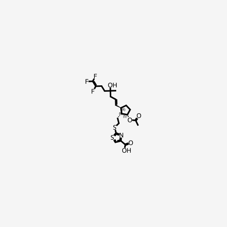 CC(=O)O[C@H]1CC[C@H](C=CCC(C)(O)CCC(F)=C(F)F)[C@H]1CCSc1nc(C(=O)O)cs1